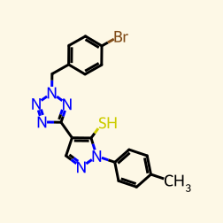 Cc1ccc(-n2ncc(-c3nnn(Cc4ccc(Br)cc4)n3)c2S)cc1